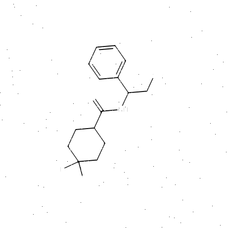 O=CCC(NC(=O)C1CCC(F)(F)CC1)c1ccccc1